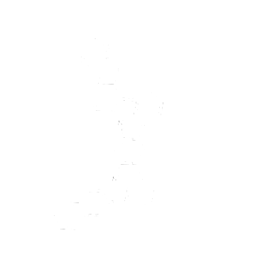 c1ccc2cc3c(cc2c1)c1cccc2c4cc5c6cccc7c8c9oc%10ccccc%10c9ccc8n(c5cc4n3c12)c67